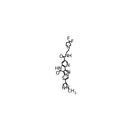 Cn1cc(-c2cn3nc4c5ncc(C(=O)NCCN6CCC(F)(F)C6)cc5[nH]c(=O)c4c3s2)cn1